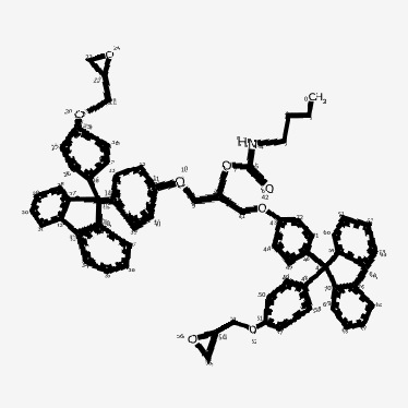 CCCCNC(=O)OC(COc1ccc(C2(c3ccc(OCC4CO4)cc3)c3ccccc3-c3ccccc32)cc1)COc1ccc(C2(c3ccc(OCC4CO4)cc3)c3ccccc3-c3ccccc32)cc1